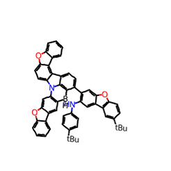 CC(C)(C)c1ccc(Nc2cc3c(cc2-c2ccc4c5c6c(ccc5n5c4c2Bc2cc4c(cc2-5)oc2ccccc24)oc2ccccc26)oc2ccc(C(C)(C)C)cc23)cc1